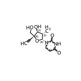 C#C[C@]1(CO)O[C@@H](n2ccc(=O)[nH]c2=O)[C@@H](C)[C@@H]1O